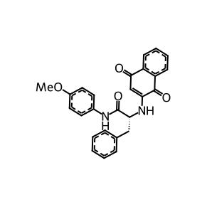 COc1ccc(NC(=O)[C@@H](Cc2ccccc2)NC2=CC(=O)c3ccccc3C2=O)cc1